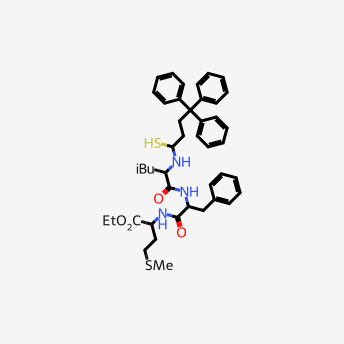 CCOC(=O)C(CCSC)NC(=O)C(Cc1ccccc1)NC(=O)C(NC(S)CCC(c1ccccc1)(c1ccccc1)c1ccccc1)C(C)CC